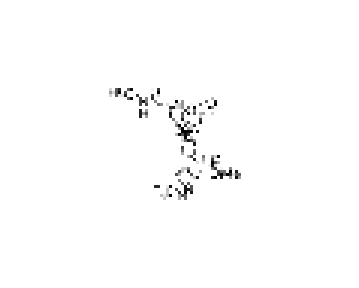 COC(=O)C(C)(C)[C@H](c1ccc(C)c(CN2CC3(CCOCC3)Oc3nc(CCC(=O)NCCO)ccc3S2(=O)=O)c1)c1ccn2c(C(F)(F)F)nnc2c1C